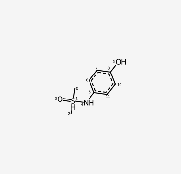 C[SH](C)(=O)Nc1ccc(O)cc1